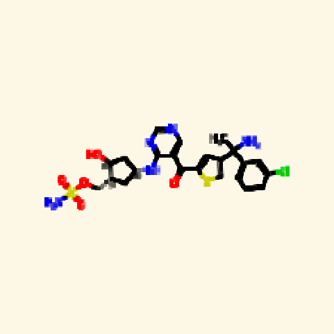 CC(N)(c1cccc(Cl)c1)c1csc(C(=O)c2cncnc2N[C@@H]2C[C@H](COS(N)(=O)=O)[C@@H](O)C2)c1